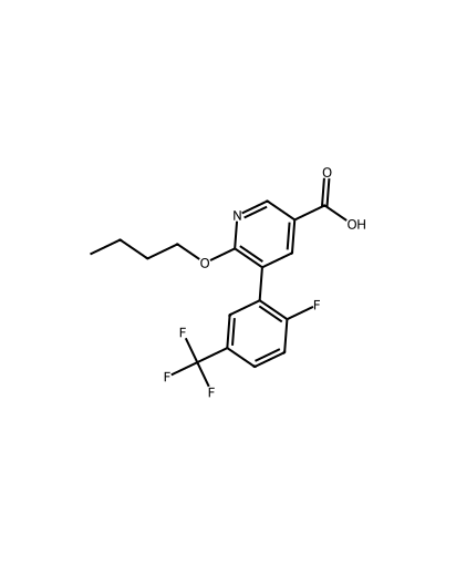 CCCCOc1ncc(C(=O)O)cc1-c1cc(C(F)(F)F)ccc1F